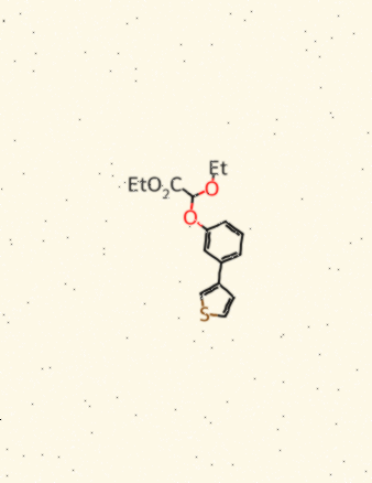 CCOC(=O)C(OCC)Oc1cccc(-c2ccsc2)c1